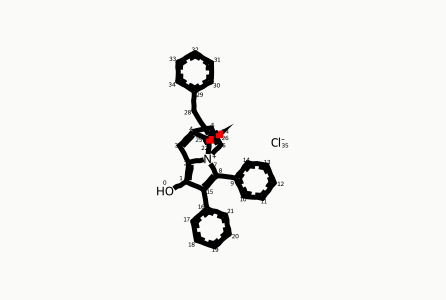 OC1=C2C=C3C=C[N+]2(C(c2ccccc2)=C1c1ccccc1)C31C=CC=CN1Cc1ccccc1.[Cl-]